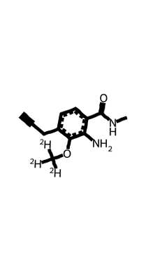 [2H]C([2H])([2H])Oc1c(CC#C)ccc(C(=O)NC)c1N